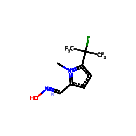 Cn1c(/C=N/O)ccc1C(F)(C(F)(F)F)C(F)(F)F